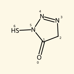 O=C1CN=NN1S